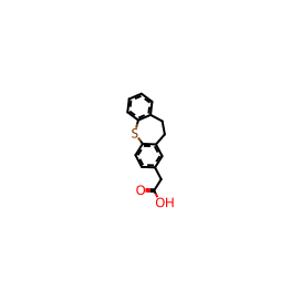 O=C(O)Cc1ccc2c(c1)CCc1ccccc1S2